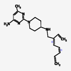 C=C/C=C\C=C(/C=C)CNC1CCN(c2nc(C)cc(N)n2)CC1